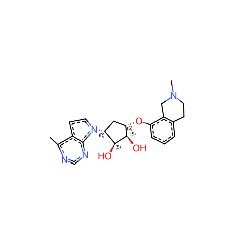 Cc1ncnc2c1ccn2[C@@H]1C[C@H](Oc2cccc3c2CN(C)CC3)[C@@H](O)[C@H]1O